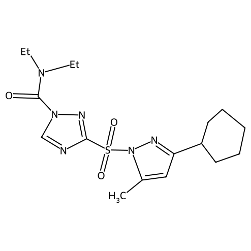 CCN(CC)C(=O)n1cnc(S(=O)(=O)n2nc(C3CCCCC3)cc2C)n1